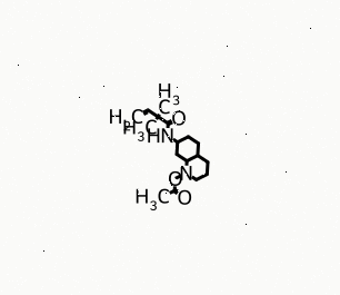 C=CC(C)(C)C(=O)NC1CCC2CCCN(OC(C)=O)C2C1